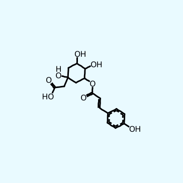 O=C(O)CC1(O)CC(O)C(O)C(OC(=O)/C=C/c2ccc(O)cc2)C1